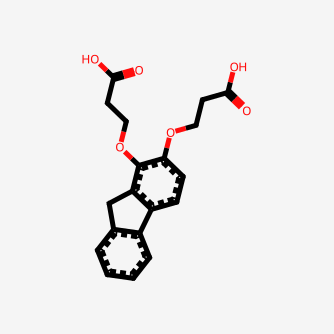 O=C(O)CCOc1ccc2c(c1OCCC(=O)O)Cc1ccccc1-2